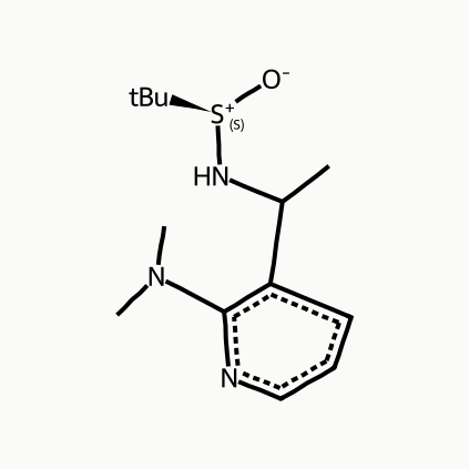 CC(N[S@+]([O-])C(C)(C)C)c1cccnc1N(C)C